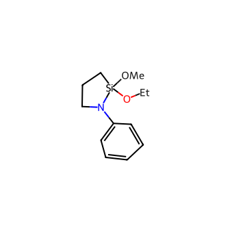 CCO[Si]1(OC)CCCN1c1ccccc1